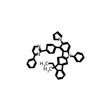 CCC1(C)c2ccccc2-c2cc3c(cc21)c1c(-c2ccc(-c4nccc(-c5ccccc5)n4)cc2)c(-n2cccc2)ccc1n3-c1ccccc1